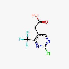 O=C(O)Cc1cnc(Cl)nc1C(F)(F)F